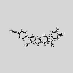 Cn1c(-c2ccc(C#N)cc2)nc2oc(C=C3C(=O)c4cc(Cl)c(Cl)cc4C3=O)cc21